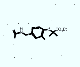 C=C(C)NCc1ccc(OC(C)(C)C(=O)OCC)c(C)c1